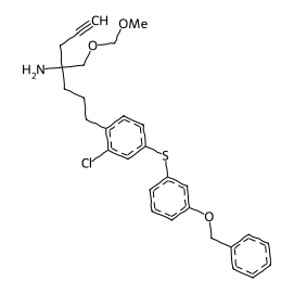 C#CCC(N)(CCCc1ccc(Sc2cccc(OCc3ccccc3)c2)cc1Cl)COCOC